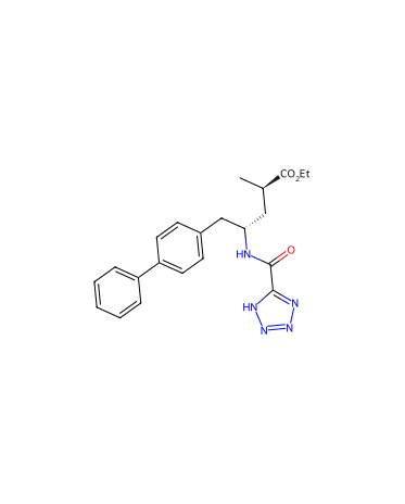 CCOC(=O)[C@H](C)C[C@@H](Cc1ccc(-c2ccccc2)cc1)NC(=O)c1nnn[nH]1